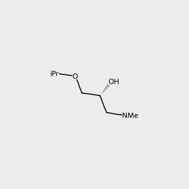 CNC[C@@H](O)COC(C)C